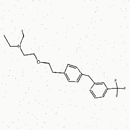 CCN(CC)CCOCCc1ccc(Cc2cccc(C(F)(F)F)c2)cc1